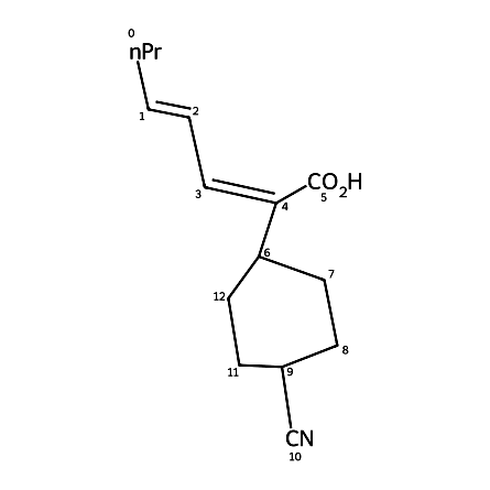 CCCC=CC=C(C(=O)O)C1CCC(C#N)CC1